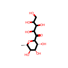 C[C@@H]1OC(C(=O)C(O)C(O)C(O)CO)[C@H](O)[C@H](O)[C@H]1O